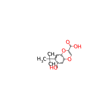 CC(C)(C)c1cc2c(cc1O)OC=C(C(=O)O)O2